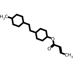 CC=CC(=O)OC1CCC(CCC2CCC(C)CC2)CC1